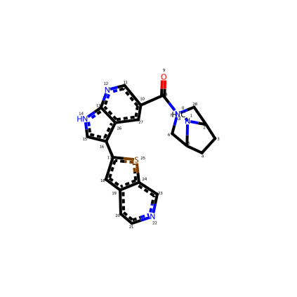 CN1C2CCC1CN(C(=O)c1cnc3[nH]cc(-c4cc5ccncc5s4)c3c1)C2